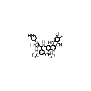 Cc1cc(NC(C2=CN(C3CCNCC3)NN2)c2cc(C(F)(F)F)cc(C(F)(F)F)c2)cc2c(Nc3ccc(F)c(Cl)c3)c(C#N)cnc12